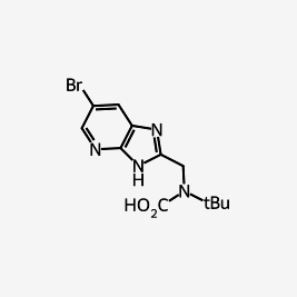 CC(C)(C)N(Cc1nc2cc(Br)cnc2[nH]1)C(=O)O